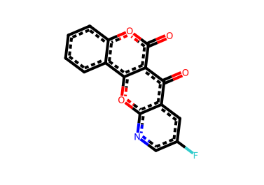 O=c1oc2ccccc2c2oc3ncc(F)cc3c(=O)c12